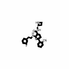 N#Cc1ccccc1-c1ccc(C(=O)NC[C@H]2CCN2)c(NCCc2cccc(F)c2)n1